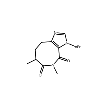 CCCn1cnc2c1C(=O)N(C)C(=O)C(C)CC2